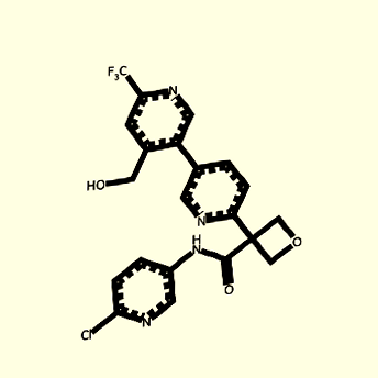 O=C(Nc1ccc(Cl)nc1)C1(c2ccc(-c3cnc(C(F)(F)F)cc3CO)cn2)COC1